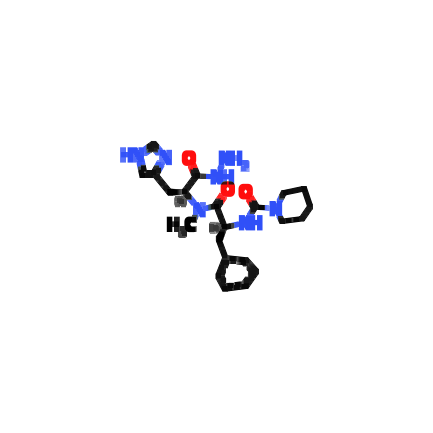 CN(C(=O)[C@H](Cc1ccccc1)NC(=O)N1CCCCC1)[C@@H](Cc1c[nH]cn1)C(=O)NN